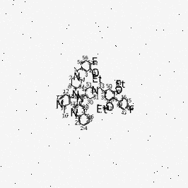 CCOc1cc(CN2CCC(N(c3ccnc(C)c3)N(c3cnc4ccccc4c3)C3CCN(Cc4cc(OCC)c(-c5ccc(F)cc5)c(OCC)c4)CC3)CC2)ccc1F